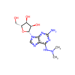 CN(C)Nc1nc(N)nc2c1ncn2[C@@H]1O[C@H](CO)[C@@H](O)[C@H]1O